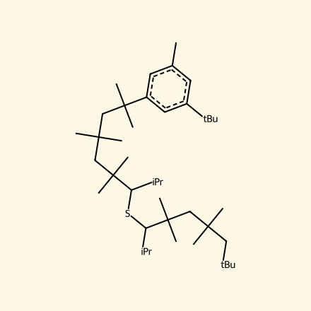 Cc1cc(C(C)(C)C)cc(C(C)(C)CC(C)(C)CC(C)(C)C(SC(C(C)C)C(C)(C)CC(C)(C)CC(C)(C)C)C(C)C)c1